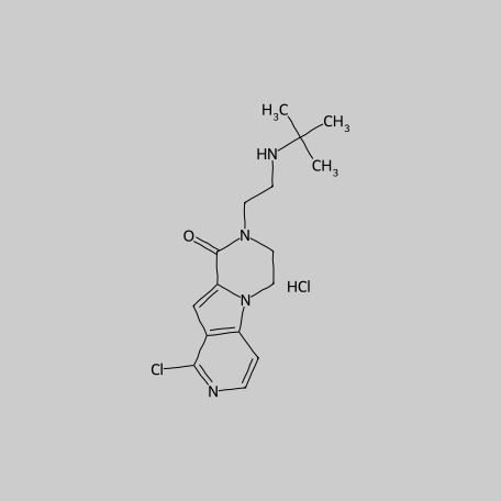 CC(C)(C)NCCN1CCn2c(cc3c(Cl)nccc32)C1=O.Cl